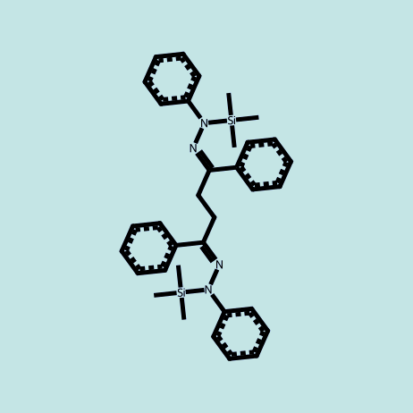 C[Si](C)(C)N(/N=C(/CC/C(=N/N(c1ccccc1)[Si](C)(C)C)c1ccccc1)c1ccccc1)c1ccccc1